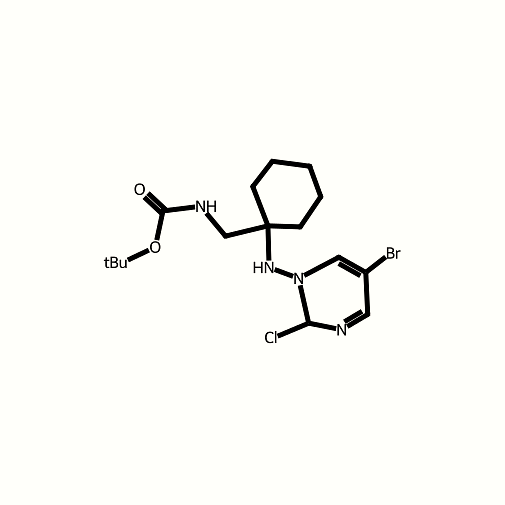 CC(C)(C)OC(=O)NCC1(NN2C=C(Br)C=NC2Cl)CCCCC1